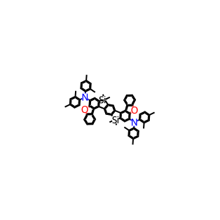 Cc1ccc(N(c2ccc(C)cc2C)c2cc3c(c4c2oc2ccccc24)-c2cc4c(cc2[Si]3(C)C)-c2c(cc(N(c3ccc(C)cc3C)c3ccc(C)cc3C)c3oc5ccccc5c23)[Si]4(C)C)c(C)c1